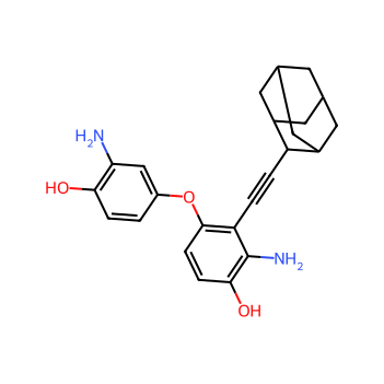 Nc1cc(Oc2ccc(O)c(N)c2C#CC2C3CC4CC(C3)CC2C4)ccc1O